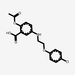 CC(=O)Oc1ccc(NCCOc2ccc(Cl)cc2)cc1C(=O)O